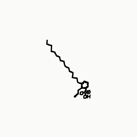 C=CCc1c(CCCCCCCCCCCCCCCC)cccc1S(=O)(=O)O